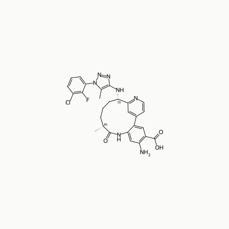 Cc1c(N[C@H]2CCC[C@@H](C)C(=O)Nc3cc(N)c(C(=O)O)cc3-c3ccnc2c3)nnn1-c1cccc(Cl)c1F